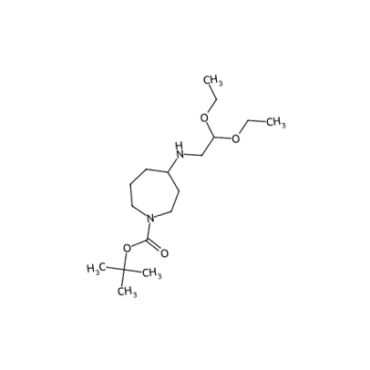 CCOC(CNC1CCCN(C(=O)OC(C)(C)C)CC1)OCC